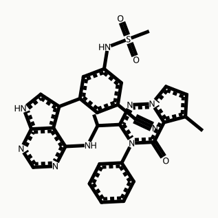 Cc1ccn2nc(C(C)Nc3ncnc4[nH]cc(-c5cc(C#N)cc(NS(C)(=O)=O)c5)c34)n(-c3ccccc3)c(=O)c12